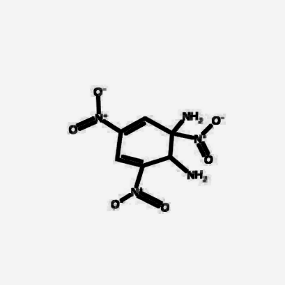 NC1C([N+](=O)[O-])=CC([N+](=O)[O-])=CC1(N)[N+](=O)[O-]